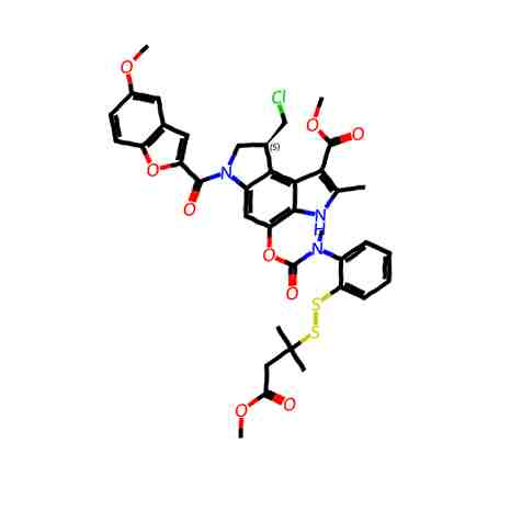 COC(=O)CC(C)(C)SSc1ccccc1N(C)C(=O)Oc1cc2c(c3c(C(=O)OC)c(C)[nH]c13)[C@H](CCl)CN2C(=O)c1cc2cc(OC)ccc2o1